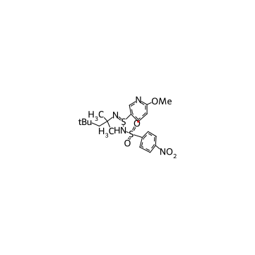 COc1ccc(S(=NC(C)(C)CC(C)(C)C)NS(=O)(=O)c2ccc([N+](=O)[O-])cc2)cn1